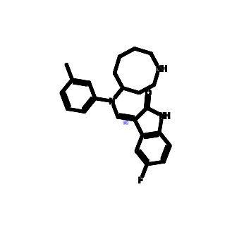 Cc1cccc(N(/C=C2\C(=O)Nc3ccc(F)cc32)C2CCCCNCC2)c1